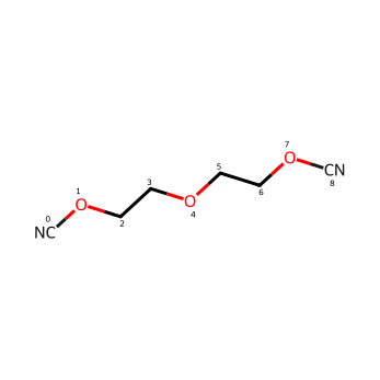 N#COCCOCCOC#N